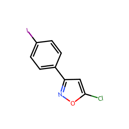 Clc1cc(-c2ccc(I)cc2)no1